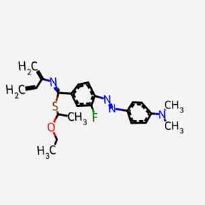 C=CC(=C)/N=C(\SC(C)OCC)c1ccc(/N=N/c2ccc(N(C)C)cc2)c(F)c1